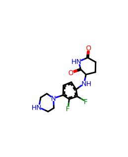 O=C1CCC(Nc2ccc(N3CCNCC3)c(F)c2F)C(=O)N1